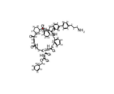 NCCCc1ccc(-c2ccc(C[C@@H]3NC(=O)[C@]4(Cc5ccccc5)CCCN(C4)C(=O)/C=C/C(=O)NCC[C@@H](C(=O)NC(=O)OCc4ccccc4)NC(=O)Cc4ccccc4CNC3=O)cc2)cc1